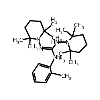 Cc1ccccc1NC(=NN1C(C)(C)CCCC1(C)C)NN1C(C)(C)CCCC1(C)C